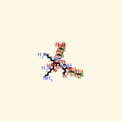 NCCCC[C@H](N)C(=O)C(O)[C@H]1O[C@@H](n2cc(/C=C/Br)c(=O)[nH]c2=O)C[C@@]1(O)C(=O)[C@@H](N)CCCCN.O.O.O=C(O)C(F)(F)F.O=C(O)C(F)(F)F.O=C(O)C(F)(F)F.O=C(O)C(F)(F)F